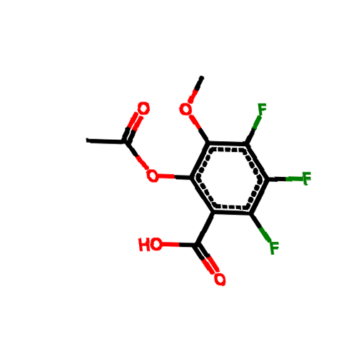 COc1c(F)c(F)c(F)c(C(=O)O)c1OC(C)=O